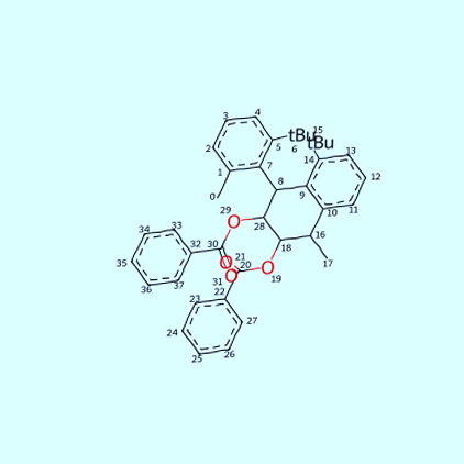 Cc1cccc(C(C)(C)C)c1C1c2c(cccc2C(C)(C)C)C(C)C(OC(=O)c2ccccc2)C1OC(=O)c1ccccc1